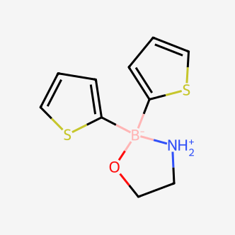 c1csc([B-]2(c3cccs3)[NH2+]CCO2)c1